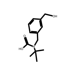 CC(C)(C)N(Cc1cccc(CO)c1)C(=O)O